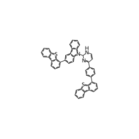 C1=CC(c2ccc(-c3cccc4c3sc3ccccc34)cc2)=NC(n2c3ccccc3c3cc(-c4cccc5c4sc4ccccc45)ccc32)N1